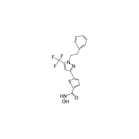 O=C(NO)c1ccc(-c2cc(C(F)(F)F)n(CCc3ccccc3)n2)s1